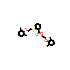 Cc1cccc(C)c1OCCOC(=O)c1ccccc1SCCOc1c(C)cccc1C